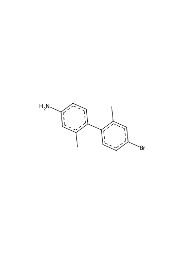 Cc1cc(N)ccc1-c1ccc(Br)cc1C